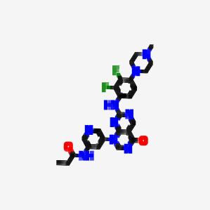 C=CC(=O)Nc1cncc(-n2cnc(=O)c3cnc(Nc4ccc(N5CCN(C)CC5)c(F)c4F)nc32)c1